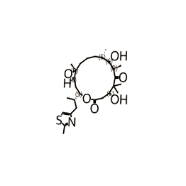 Cc1nc(CC(C)[C@@H]2C[C@@H]3O[C@]3(C)CCC[C@H](C)[C@H](O)[C@@H](C)C(=O)C(C)(C)[C@@H](O)CC(=O)O2)cs1